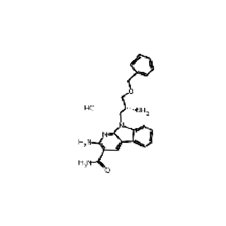 Cl.NC(=O)c1cc2c3ccccc3n(C[C@@H](N)COCc3ccccc3)c2nc1N